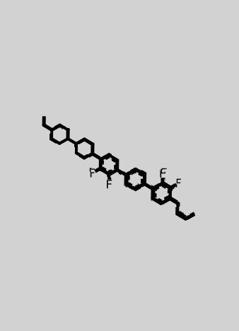 C/C=C\Cc1ccc(-c2ccc(-c3ccc(C4CCC(C5CCC(CC)CC5)CC4)c(F)c3F)cc2)c(F)c1F